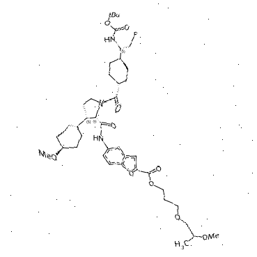 COC(C)COCCCOC(=O)c1cc2cc(NC(=O)[C@@H]3[C@H]([C@H]4CC[C@H](OC)CC4)CCN3C(=O)[C@H]3CC[C@H]([C@@H](CF)NC(=O)OC(C)(C)C)CC3)ccc2o1